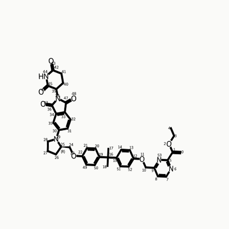 C=C(OCC)c1nccc(COc2ccc(C(C)(C)c3ccc(OC[C@H]4CCCN4c4ccc5c(c4)C(=O)N(C4CCC(=O)NC4=O)C5=O)cc3)cc2)n1